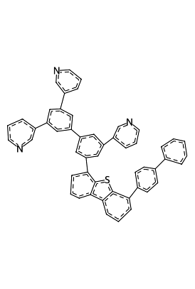 c1ccc(-c2ccc(-c3cccc4c3sc3c(-c5cc(-c6cccnc6)cc(-c6cc(-c7cccnc7)cc(-c7cccnc7)c6)c5)cccc34)cc2)cc1